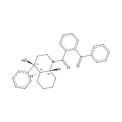 O=C(c1ccccc1)c1ccccc1C(=O)N1CC[C@@](O)(c2ccccc2)[C@@H]2CCCC[C@H]21